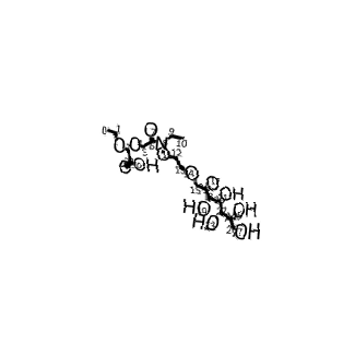 CCOC(OCC(=O)N(CC)OCCOCC(=O)C(O)C(O)C(O)C(O)CO)C(=O)O